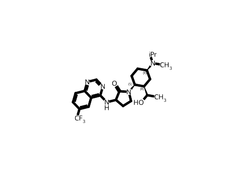 CC(O)[C@@H]1C[C@H](N(C)C(C)C)CC[C@@H]1N1CCC(Nc2ncnc3ccc(C(F)(F)F)cc23)C1=O